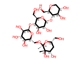 C[C@]1(OC[C@H]2O[C@H](O[C@H]3[C@H](O)[C@@H](O)[C@@H](O[C@H]4[C@H](O)[C@@H](O)CO[C@@H]4CO)O[C@@H]3CO)[C@H](O)[C@@H](O)[C@@H]2O)O[C@H](CO)C[C@H](O)[C@]1(C)O